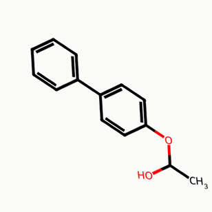 CC(O)Oc1ccc(-c2ccccc2)cc1